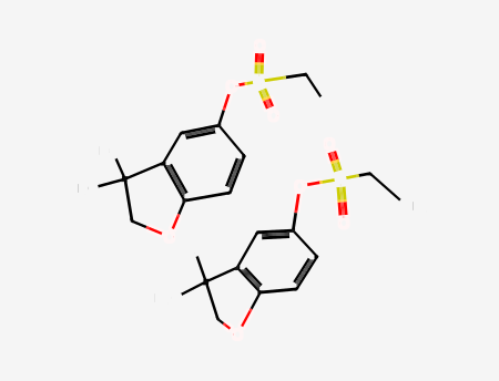 CCS(=O)(=O)Oc1ccc2c(c1)C(C)(C)CO2.CCS(=O)(=O)Oc1ccc2c(c1)C(C)(C)CO2